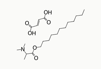 CCCCCCCCCCCCOC(=O)C(C)N(C)C.O=C(O)C=CC(=O)O